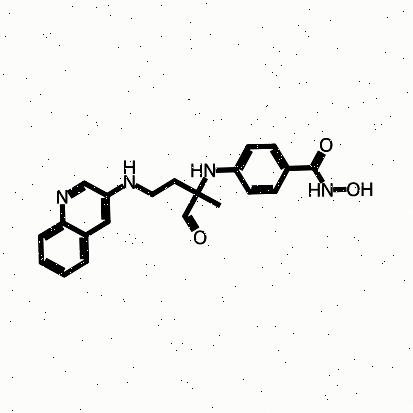 CC(C=O)(CCNc1cnc2ccccc2c1)Nc1ccc(C(=O)NO)cc1